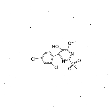 COc1nc(S(C)(=O)=O)nc(-c2ccc(Cl)cc2Cl)c1O